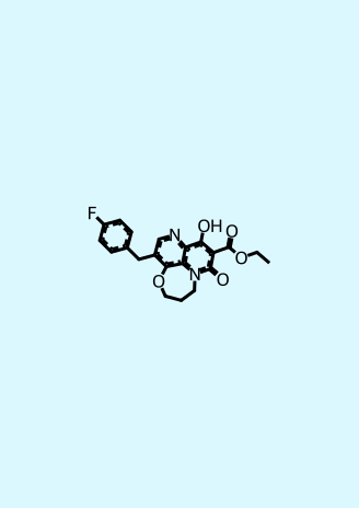 CCOC(=O)c1c(O)c2ncc(Cc3ccc(F)cc3)c3c2n(c1=O)CCCO3